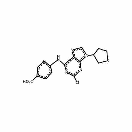 O=C(O)c1ccc(Nc2nc(Cl)nc3c2ncn3C2CCSC2)cc1